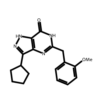 COc1ccccc1Cc1nc2c(C3CCCC3)n[nH]c2c(=O)[nH]1